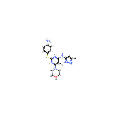 Cc1cc(Nc2nc(Sc3ccc(N)cc3)nc(N3CCOCC3)c2C)n[nH]1